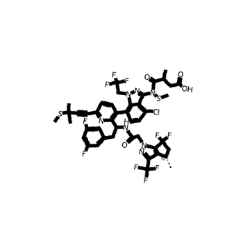 CSN(C(=O)C(C)CC(=O)O)c1nn(CC(F)(F)F)c2c(-c3ccc(C#CC(C)(C)SC)nc3C(Cc3cc(F)cc(F)c3)NC(=O)Cn3nc(C(F)(F)F)c4c3C(F)(F)C[C@@H]4C)ccc(Cl)c12